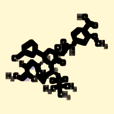 C=C(/C=C(F)\C(Cl)=C/C)[C@@H]1C(c2cccc(Cl)c2)C[C@](C)(CC(=O)Nc2ccc(C(=O)O)c(OC)c2)C(=O)N1[C@H](CS(=O)(=O)C(C)(C)C)C1CC1